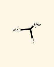 [Li][CH](SC)SC